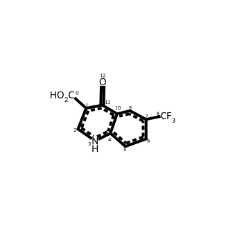 O=C(O)c1c[nH]c2ccc(C(F)(F)F)cc2c1=O